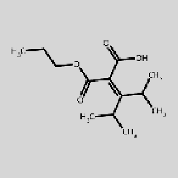 CCCOC(=O)C(C(=O)O)=C(C(C)C)C(C)C